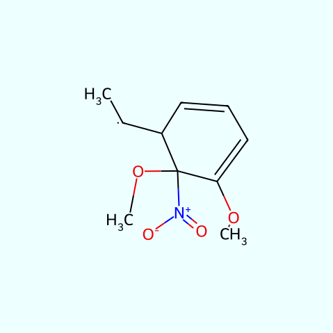 C[CH]C1C=CC=C(OC)C1(OC)[N+](=O)[O-]